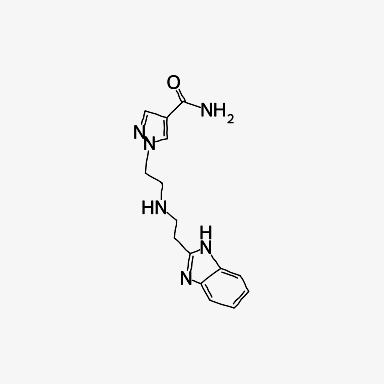 NC(=O)c1cnn(CCNCCc2nc3ccccc3[nH]2)c1